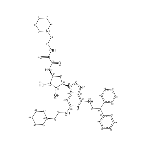 O=C(NCCN1CCCCC1)C(=O)N[C@H]1C[C@@H](n2cnc3c(NCC(c4ccccc4)c4ccccc4)nc(NCCN4CCCCC4)nc32)[C@H](O)[C@@H]1O